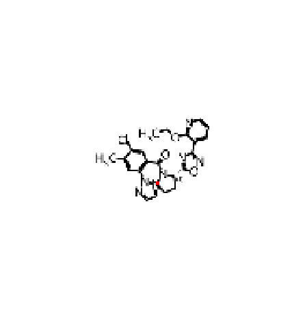 CCOc1ncccc1-c1noc([C@@H]2CCCN2C(=O)c2cc(Cl)c(C)cc2-n2nccn2)n1